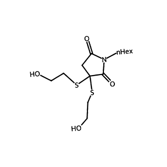 CCCCCCN1C(=O)CC(SCCO)(SCCO)C1=O